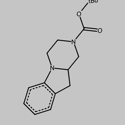 CC(C)(C)OC(=O)N1CCN2c3ccccc3CC2C1